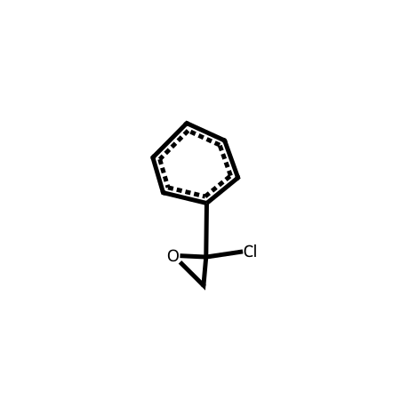 ClC1(c2ccccc2)CO1